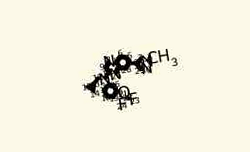 Cn1cc(-c2ccc3ncc(N(CC4CC4)c4cccc(OC(F)F)c4)nc3c2)cn1